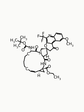 CCOC(=O)[C@@]12C[C@H]1/C=C\CCCCC[C@H](NC(=O)OC(C)(C)C)C(=O)N1C[C@@]3(CC(=O)c4c(c(C(F)(F)F)nc5ccc(OC)cc45)O3)C[C@H]1C(=O)N2